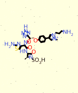 C[C@H]1[C@H](NC(=O)/C(=N\O[C@@H](COc2ccc(-c3cn(CCCN)[n+](C)c3)cc2)c2nn[nH]n2)c2csc(N)n2)C(=O)N1S(=O)(=O)O